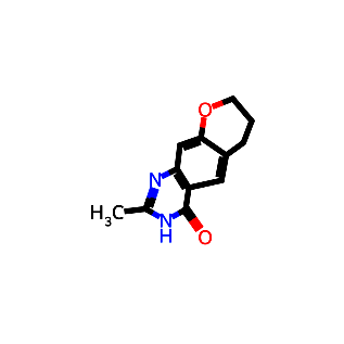 Cc1nc2cc3c(cc2c(=O)[nH]1)CCCO3